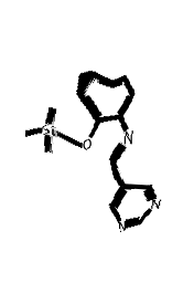 C[Si](C)(C)Oc1ccccc1N=Cc1cncnc1